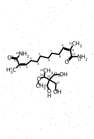 CC(=CCCCCCCC=C(C)C(N)=O)C(N)=O.COC(C)C(CO)(CO)CO